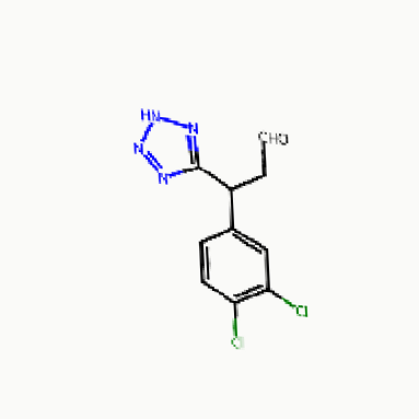 O=CCC(c1ccc(Cl)c(Cl)c1)c1nn[nH]n1